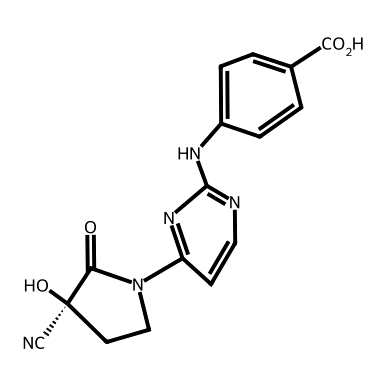 N#C[C@@]1(O)CCN(c2ccnc(Nc3ccc(C(=O)O)cc3)n2)C1=O